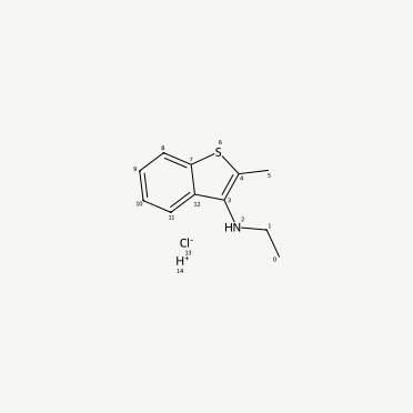 CCNc1c(C)sc2ccccc12.[Cl-].[H+]